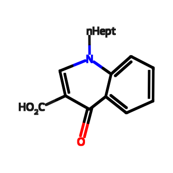 CCCCCCCn1cc(C(=O)O)c(=O)c2ccccc21